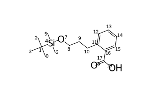 CC(C)(C)[Si](C)(C)OCCCc1ccccc1C(=O)O